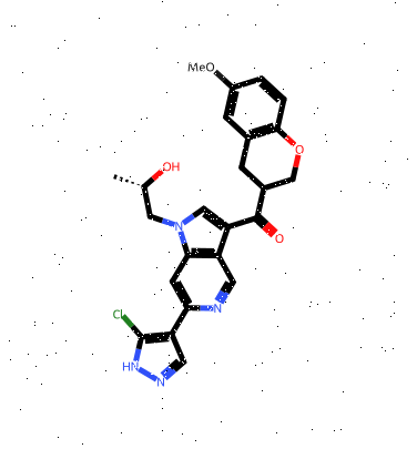 COc1ccc2c(c1)CC(C(=O)c1cn(C[C@H](C)O)c3cc(-c4cn[nH]c4Cl)ncc13)CO2